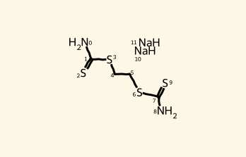 NC(=S)SCCSC(N)=S.[NaH].[NaH]